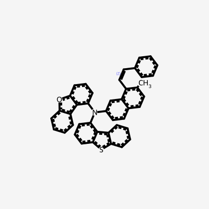 Cc1ccc2ccc(N(c3cccc4oc5ccccc5c34)c3cccc4sc5ccccc5c34)cc2c1/C=C\c1ccccc1